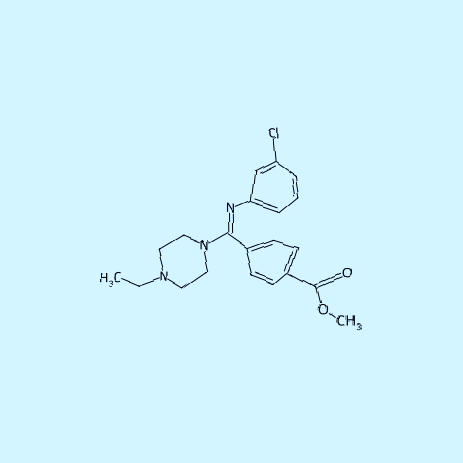 CCN1CCN(C(=Nc2cccc(Cl)c2)c2ccc(C(=O)OC)cc2)CC1